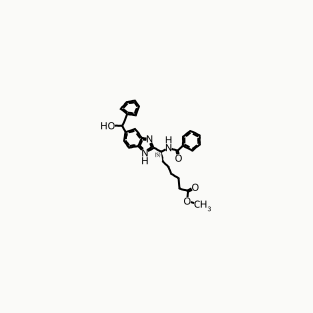 COC(=O)CCCCC[C@H](NC(=O)c1ccccc1)c1nc2cc(C(O)c3ccccc3)ccc2[nH]1